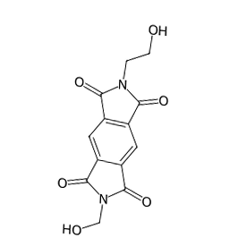 O=c1c2cc3c(=O)n(CCO)c(=O)c3cc2c(=O)n1CO